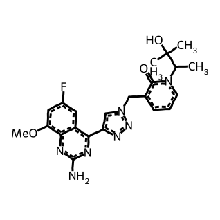 COc1cc(F)cc2c(-c3cn(Cc4cccn(C(C)C(C)(C)O)c4=O)nn3)nc(N)nc12